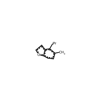 Cc1ccc2occc2c1C(C)C